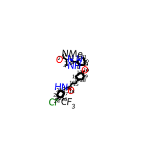 CNC(=O)C1CNC(c2cc(Oc3ccc(CCC(=O)Nc4ccc(Cl)c(C(F)(F)F)c4)cc3)ccn2)=N1